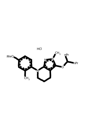 CCCC(CCC)Oc1c2c(nn1C)N(c1ccc(OC)cc1C)CCC2.Cl